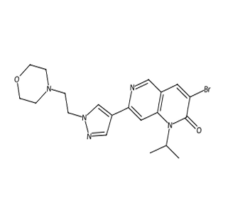 CC(C)n1c(=O)c(Br)cc2cnc(-c3cnn(CCN4CCOCC4)c3)cc21